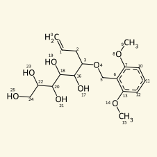 C=CCC(OCc1c(OC)cccc1OC)C(O)C(O)C(O)C(O)CO